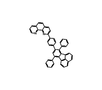 c1ccc(-c2cc(-c3ccc(-c4ccc5ccc6cccnc6c5n4)cc3)c(-c3ccccc3)c3c2-c2cccc4cccc-3c24)cc1